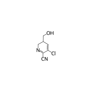 N#CC1=NCC(CO)C=C1Cl